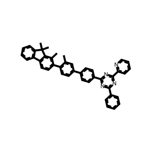 Cc1cc(-c2ccc(-c3nc(-c4ccccc4)nc(-c4ccccn4)n3)cc2)ccc1-c1ccc2c(c1C)C(C)(C)c1ccccc1-2